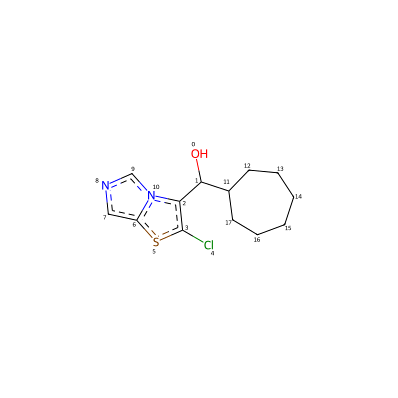 OC(c1c(Cl)sc2cncn12)C1CCCCCC1